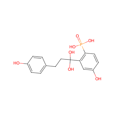 O=P(O)(O)c1ccc(O)cc1C(O)(O)CCc1ccc(O)cc1